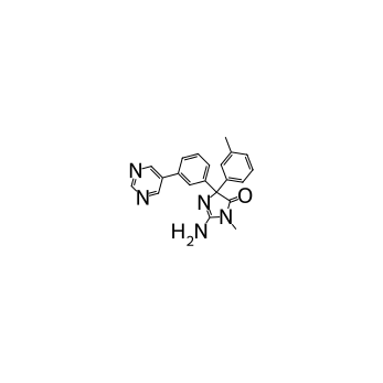 Cc1cccc(C2(c3cccc(-c4cncnc4)c3)N=C(N)N(C)C2=O)c1